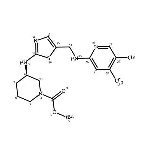 CC(C)(C)OC(=O)N1CCC[C@@H](Nc2ncc(CNc3cc(C(F)(F)F)c(Cl)cn3)s2)C1